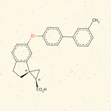 Cc1cccc(-c2ccc(Oc3ccc4c(c3)[C@]3(CC4)C[C@H]3C(=O)O)cc2)c1